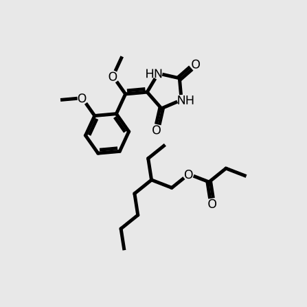 CCCCC(CC)COC(=O)CC.COC(=C1NC(=O)NC1=O)c1ccccc1OC